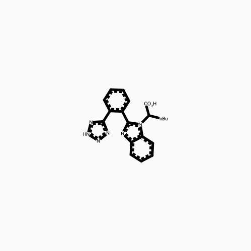 CCCCC(C(=O)O)n1c(-c2ccccc2-c2nn[nH]n2)nc2ccccc21